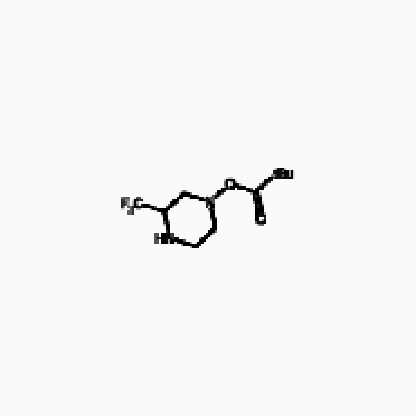 CC(C)(C)C(=O)ON1CCNC(C(F)(F)F)C1